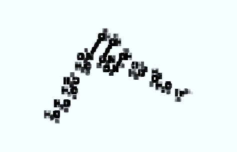 O.O.O.O.O.O.O.O.O.O=[N+]([O-])O.O=[N+]([O-])O.O=[N+]([O-])O.[Fe+3]